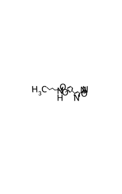 CCCCCCNC(=O)Oc1cccc(-c2cncc(-c3nnco3)c2)c1